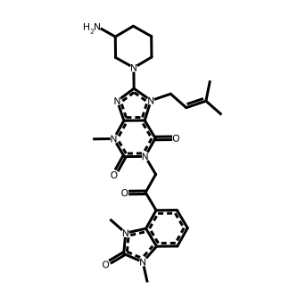 CC(C)=CCn1c(N2CCCC(N)C2)nc2c1c(=O)n(CC(=O)c1cccc3c1n(C)c(=O)n3C)c(=O)n2C